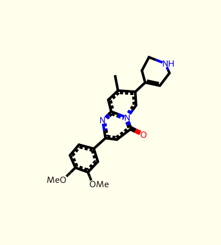 COc1ccc(-c2cc(=O)n3cc(C4=CCNCC4)c(C)cc3n2)cc1OC